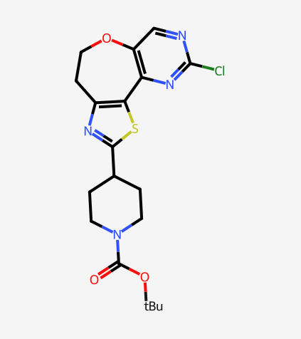 CC(C)(C)OC(=O)N1CCC(c2nc3c(s2)-c2nc(Cl)ncc2OCC3)CC1